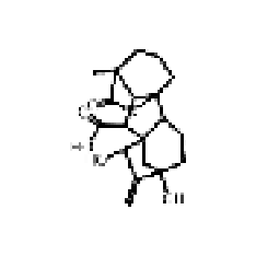 C=C1C(O)C23CC1(O)CCC2C12CCCC(C)(C(=O)O1)C2C3C(=O)O